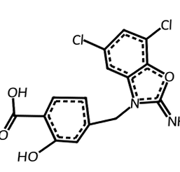 N=c1oc2c(Cl)cc(Cl)cc2n1Cc1ccc(C(=O)O)c(O)c1